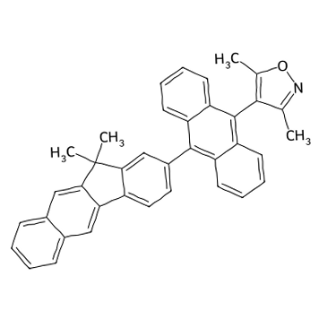 Cc1noc(C)c1-c1c2ccccc2c(-c2ccc3c(c2)C(C)(C)c2cc4ccccc4cc2-3)c2ccccc12